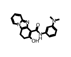 CN(C)c1cccc(NC(=O)C2=C(O)CCc3c2nc2ccccn32)c1